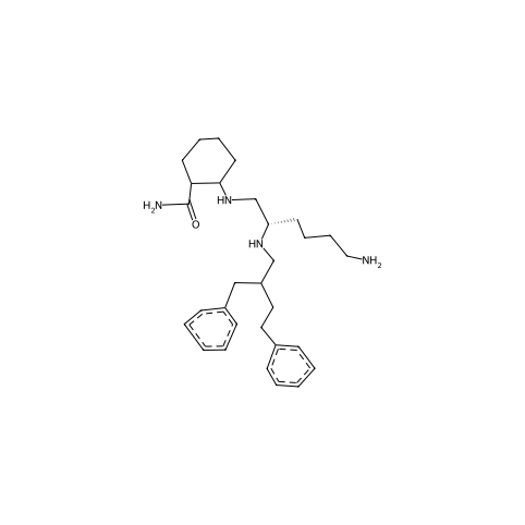 NCCCC[C@@H](CNC1CCCCC1C(N)=O)NCC(CCc1ccccc1)Cc1ccccc1